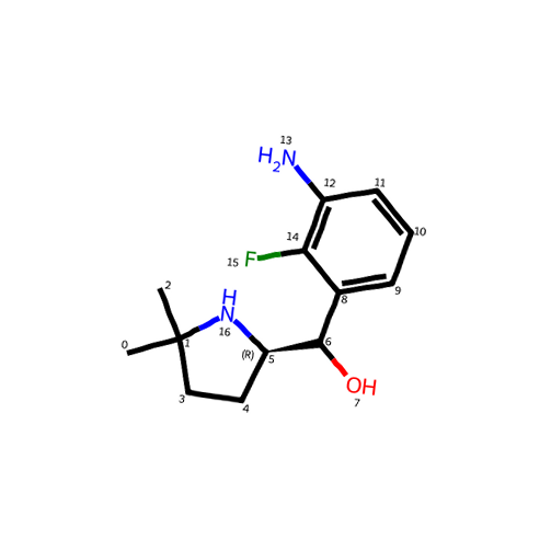 CC1(C)CC[C@H](C(O)c2cccc(N)c2F)N1